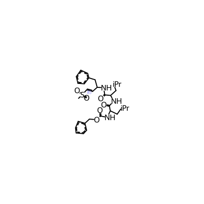 CC(C)CC(NC(=O)OCc1ccccc1)C(=O)NC(CC(C)C)C(=O)NC(/C=C/S(C)(=O)=O)Cc1ccccc1